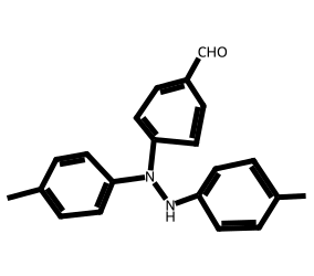 Cc1ccc(NN(c2ccc(C)cc2)c2ccc(C=O)cc2)cc1